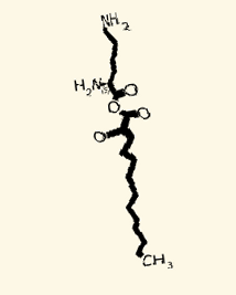 CCCCCCCCCCCC(=O)C(=O)OC(=O)[C@@H](N)CCCCN